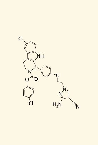 N#Cc1cn(CCOc2ccc(C3c4[nH]c5ccc(Cl)cc5c4CCN3C(=O)Oc3ccc(Cl)cc3)cc2)nc1N